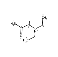 CC[SH](CC)NC(N)=O